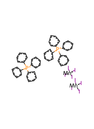 [I][Mn-]([I])([I])[I].[I][Mn-]([I])([I])[I].c1ccc([P+](c2ccccc2)(c2ccccc2)c2ccccc2)cc1.c1ccc([P+](c2ccccc2)(c2ccccc2)c2ccccc2)cc1